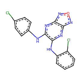 Clc1ccc(Nc2nc3nonc3nc2Nc2ccccc2Cl)cc1